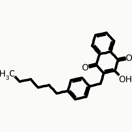 CCCCCCc1ccc(CC2=C(O)C(=O)c3ccccc3C2=O)cc1